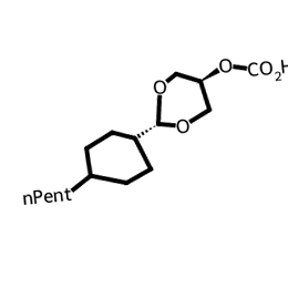 CCCCCC1CCC([C@H]2OC[C@H](OC(=O)O)CO2)CC1